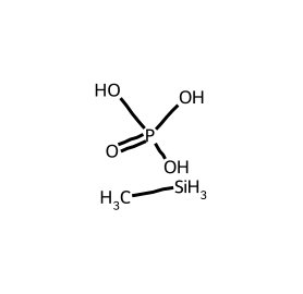 C[SiH3].O=P(O)(O)O